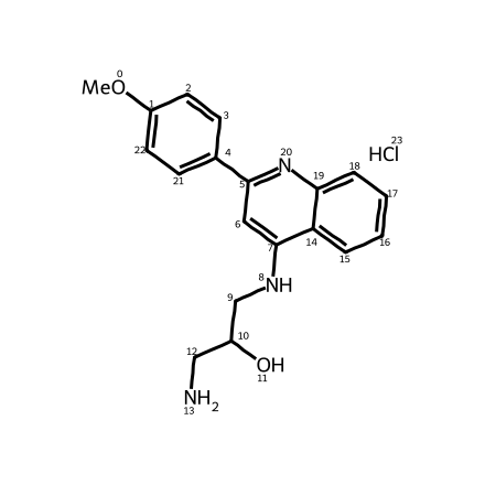 COc1ccc(-c2cc(NCC(O)CN)c3ccccc3n2)cc1.Cl